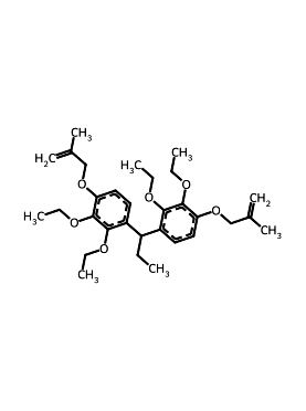 C=C(C)COc1ccc(C(CC)c2ccc(OCC(=C)C)c(OCC)c2OCC)c(OCC)c1OCC